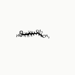 CCCCCC(C)CCCCCCCCCC(=O)O